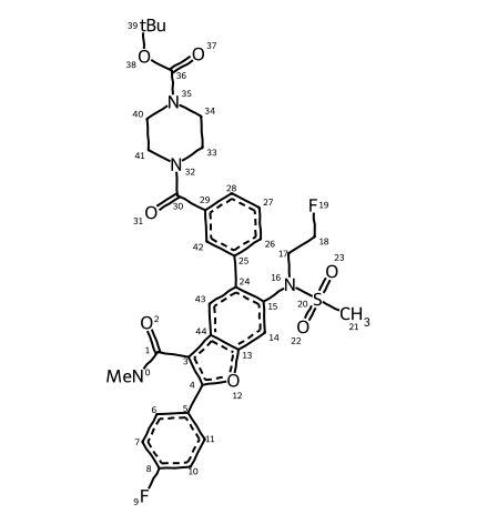 CNC(=O)c1c(-c2ccc(F)cc2)oc2cc(N(CCF)S(C)(=O)=O)c(-c3cccc(C(=O)N4CCN(C(=O)OC(C)(C)C)CC4)c3)cc12